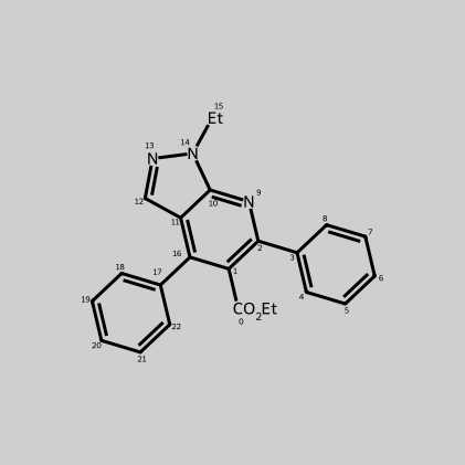 CCOC(=O)c1c(-c2ccccc2)nc2c(cnn2CC)c1-c1ccccc1